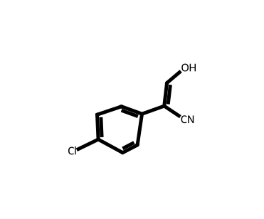 N#CC(=CO)c1ccc(Cl)cc1